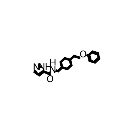 O=C(NCC1CCC(CCOc2ccccc2)CC1)c1ccn[nH]1